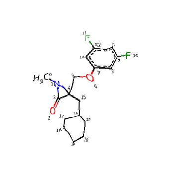 CN1C(=O)C1(COc1cc(F)cc(F)c1)CC1CCCCC1